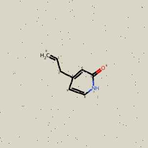 C=CCc1[c]c(=O)[nH]cc1